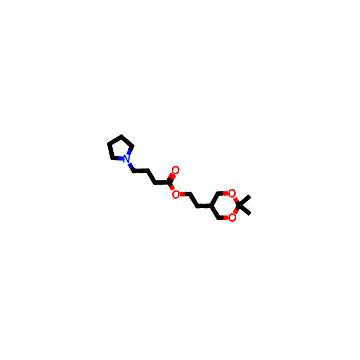 CC1(C)OCC(CCOC(=O)CCCN2CCCC2)CO1